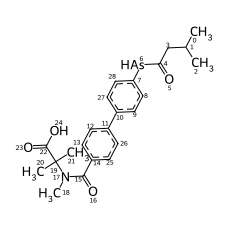 CC(C)CC(=O)[AsH]c1ccc(-c2ccc(C(=O)N(C)C(C)(C)C(=O)O)cc2)cc1